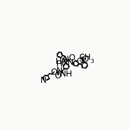 CS(=O)(=O)c1ccccc1-c1ccc(NC(=O)N(Cc2ccccc2)Nc2cccc(C(=N)NC(=O)OCCc3ccncc3)c2)cc1